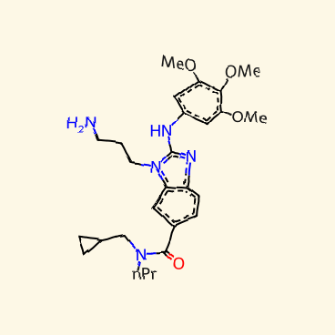 CCCN(CC1CC1)C(=O)c1ccc2nc(Nc3cc(OC)c(OC)c(OC)c3)n(CCCN)c2c1